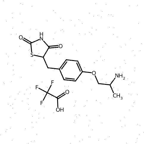 CC(N)COc1ccc(CC2SC(=O)NC2=O)cc1.O=C(O)C(F)(F)F